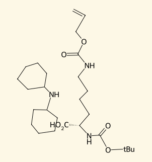 C1CCC(NC2CCCCC2)CC1.C=CCOC(=O)NCCCC[C@H](NC(=O)OC(C)(C)C)C(=O)O